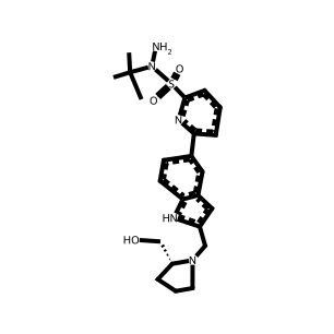 CC(C)(C)N(N)S(=O)(=O)c1cccc(-c2ccc3[nH]c(CN4CCC[C@@H]4CO)cc3c2)n1